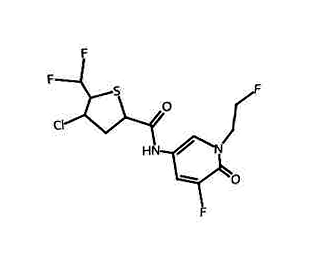 O=C(Nc1cc(F)c(=O)n(CCF)c1)C1CC(Cl)C(C(F)F)S1